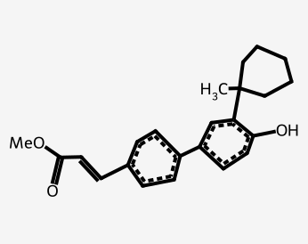 COC(=O)C=Cc1ccc(-c2ccc(O)c(C3(C)CCCCC3)c2)cc1